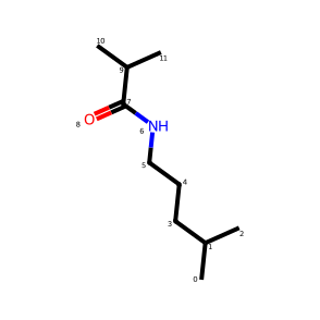 CC(C)CCCNC(=O)C(C)C